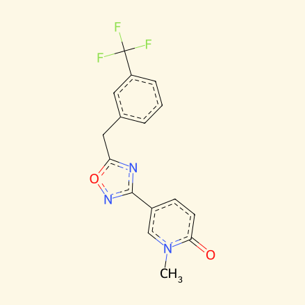 Cn1cc(-c2noc(Cc3cccc(C(F)(F)F)c3)n2)ccc1=O